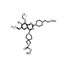 C=Cc1cc2c(N3CCC4(CC3)CN(C(=O)OC(C)(C)C)C4)nc(N3CCN(CCOC)CC3)nc2c(OCC(F)(F)F)c1Br